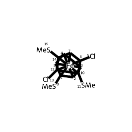 CS[C]12[CH]3[CH]4[CH]5[CH]1[Fe]45321678[CH]2[C]1(Cl)[C]6(SC)[C]7(Cl)[C]28SC